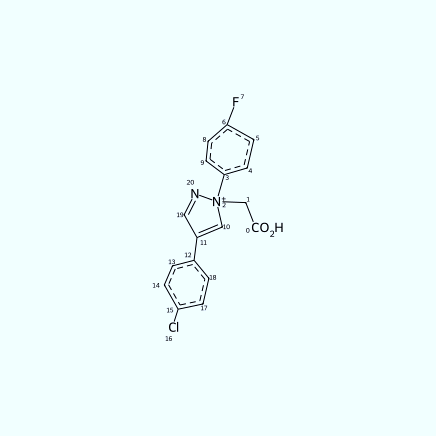 O=C(O)C[N+]1(c2ccc(F)cc2)C=C(c2ccc(Cl)cc2)C=N1